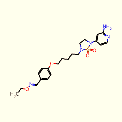 CCO/N=C/c1ccc(OCCCCCN2CCN(c3ccnc(N)c3)S2(=O)=O)cc1